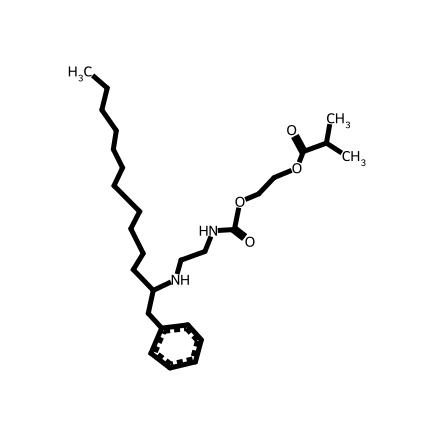 CCCCCCCCCCCC(Cc1ccccc1)NCCNC(=O)OCCOC(=O)C(C)C